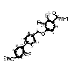 CCCC(O)c1ccc(OCc2ccc(-c3ccc(OCC)cc3F)cc2)c(F)c1F